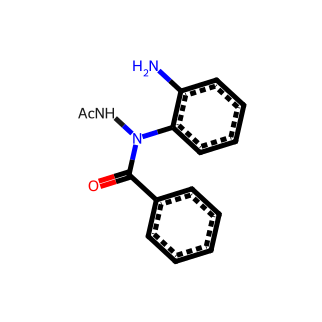 CC(=O)NN(C(=O)c1ccccc1)c1ccccc1N